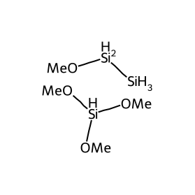 CO[SiH2][SiH3].CO[SiH](OC)OC